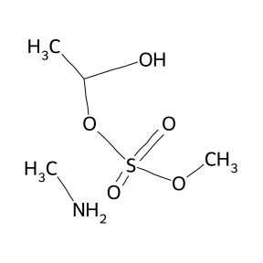 CN.COS(=O)(=O)OC(C)O